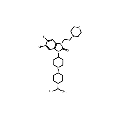 CC(C)[C@H]1CC[C@@H](N2CCC(n3c(=O)n(CCN4CCOCC4)c4cc(F)c(Cl)cc43)CC2)CC1